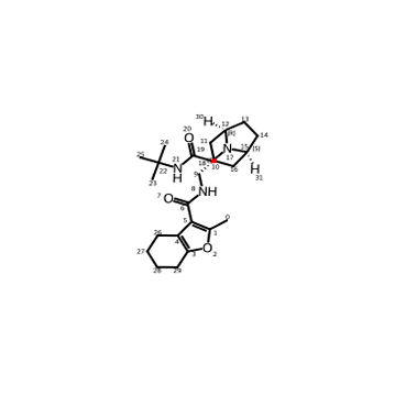 Cc1oc2c(c1C(=O)NC[C@@H]1C[C@H]3CC[C@@H](C1)N3CC(=O)NC(C)(C)C)CCCC2